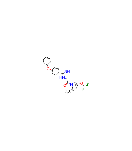 N=C(NCC(=O)N1C[C@H](OC(F)F)C[C@H]1C(=O)O)c1ccc(Oc2ccccc2)cc1